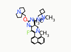 Cc1cccc2cccc(-c3ncc4c(NCC5(N(C)C)CCC5)nc(OCC56CCCN5CCC6)nc4c3F)c12